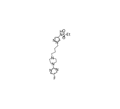 CCS(=O)(=O)Nc1cnn(CCCCN2CCN(c3ncc(F)cn3)CC2)c1